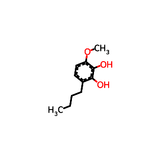 CCCCc1ccc(OC)c(O)c1O